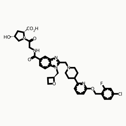 O=C(NCC(=O)N1C[C@H](O)C[C@@H]1C(=O)O)c1ccc2c(c1)nc(CN1CCC(c3cccc(OCc4ccc(Cl)cc4F)n3)CC1)n2C[C@@H]1CCO1